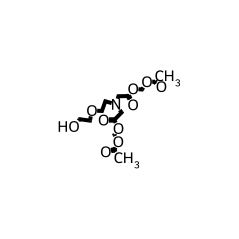 CC(=O)OCOC(=O)CN(CCOCCO)CC(=O)OCOC(C)=O